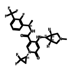 C[C@@H](NC(=O)c1cn([C@@H]2CC2(F)F)c(=O)cc1N[C@H]1[C@@H]2CN(C)C[C@@H]21)c1cccc(C(F)(F)F)c1F